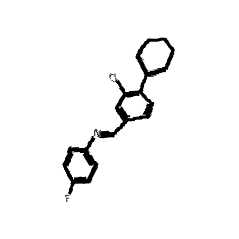 Fc1ccc(N=Cc2ccc(C3CCCCC3)c(Cl)c2)cc1